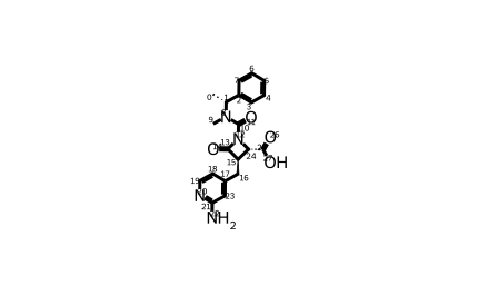 C[C@H](c1ccccc1)N(C)C(=O)N1C(=O)[C@H](Cc2ccnc(N)c2)[C@H]1C(=O)O